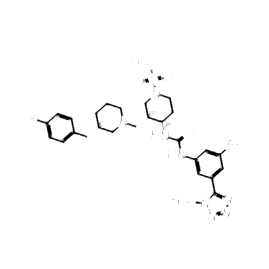 Cn1nnnc1-c1cc(Br)cc(NC(=O)N[C@@H]2CCN(S(C)(=O)=O)C[C@H]2CN2CCC[C@@H](Cc3ccc(F)cc3)C2)c1